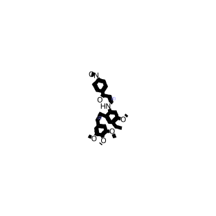 CCc1cc(/C=C\c2cc(OC)c(OC)c(OC)c2)c(N/C=C\C(=O)c2ccc(N=O)cc2)cc1OC